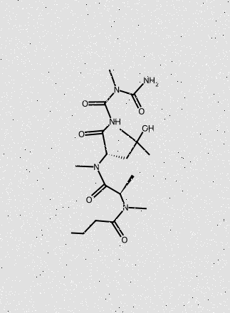 CCCC(=O)N(C)[C@H](C)C(=O)N(C)[C@@H](CC(C)(C)O)C(=O)NC(=O)N(C)C(N)=O